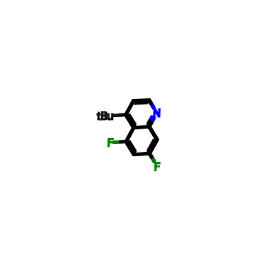 CC(C)(C)c1ccnc2cc(F)cc(F)c12